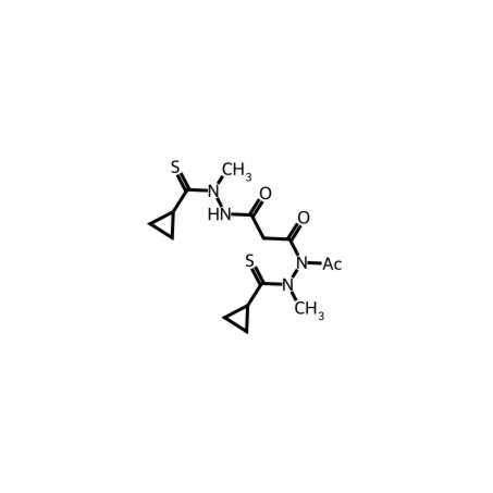 CC(=O)N(C(=O)CC(=O)NN(C)C(=S)C1CC1)N(C)C(=S)C1CC1